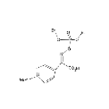 CCOC(=O)C(=NOP(=O)(OCC)OCC)c1ccc(SC)cc1